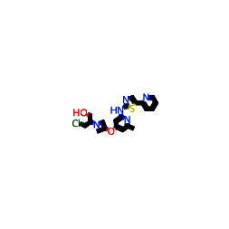 Cc1cc(OC2CN(C(CO)CCl)C2)cc(Nc2ncc(-c3ccccn3)s2)n1